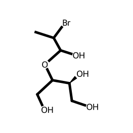 CC(Br)C(O)OC(CO)[C@@H](O)CO